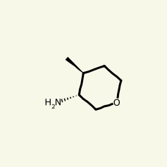 C[C@H]1CCOC[C@@H]1N